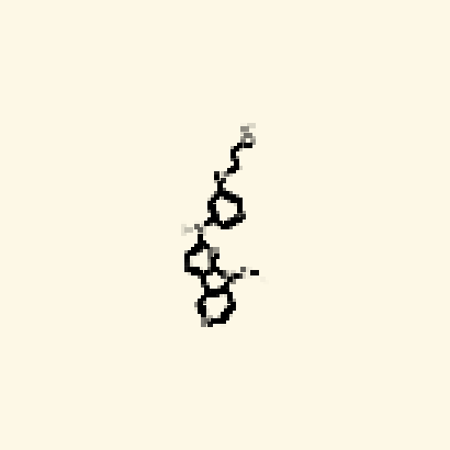 CCOCCOc1cccc(Nc2ccc3c4cnccc4n(C)c3n2)c1